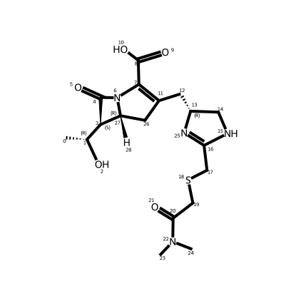 C[C@@H](O)[C@H]1C(=O)N2C(C(=O)O)=C(C[C@@H]3CNC(CSCC(=O)N(C)C)=N3)C[C@H]12